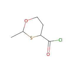 CC1OCCC(C(=O)Cl)S1